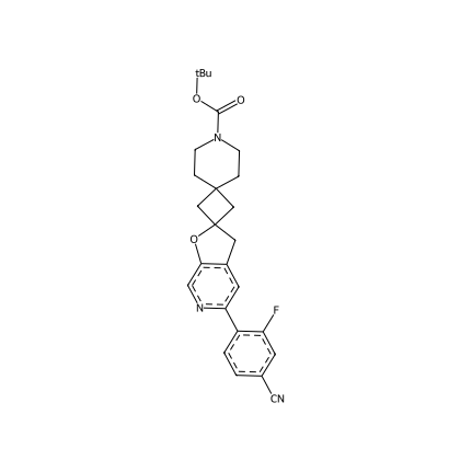 CC(C)(C)OC(=O)N1CCC2(CC1)CC1(Cc3cc(-c4ccc(C#N)cc4F)ncc3O1)C2